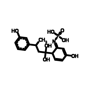 CC(CC(O)(O)C1C=CC(O)=C/C1=N\P(=O)(O)O)c1cccc(O)c1